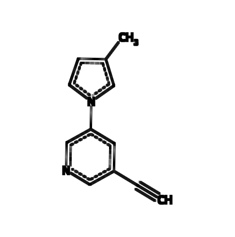 C#Cc1cncc(-n2ccc(C)c2)c1